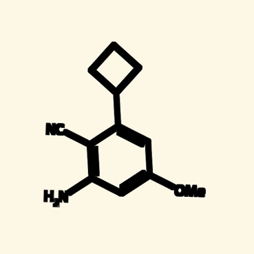 COc1cc(N)c(C#N)c(C2CCC2)c1